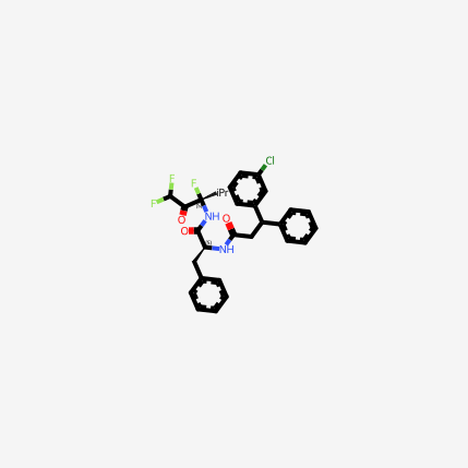 CC(C)[C@@](F)(NC(=O)[C@H](Cc1ccccc1)NC(=O)CC(c1ccccc1)c1cccc(Cl)c1)C(=O)C(F)F